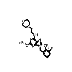 CCCCOc1nc(NCCN2CCOCC2)c2ncn(Cc3cccc(F)c3C(F)(F)F)c2n1